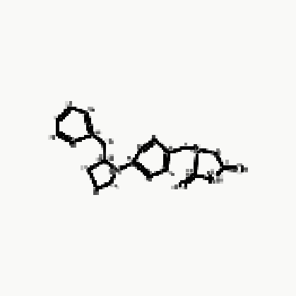 O=C1CN(Cc2ccc(N3CCC[C@H]3Cc3ccccc3)cc2)C(=O)N1